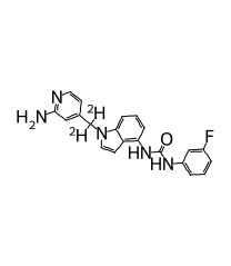 [2H]C([2H])(c1ccnc(N)c1)n1ccc2c(NC(=O)Nc3cccc(F)c3)cccc21